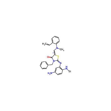 C=Cc1ccccc1N(C)/C=C1\SC(=Nc2cc(N)ccc2NCC)N(Cc2ccccc2)C1=O